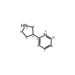 c1ccc(C2CCNC2)nc1